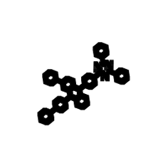 c1ccc(-c2ccc(-c3c4ccccc4c(-c4ccc(-c5nc(-c6ccccc6)nc(-c6ccccc6)n5)cc4)c4ccc(-c5ccccc5)cc34)cc2)cc1